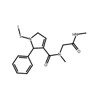 CNC(=O)CN(C)C(=O)C1=CCN(SI)C1c1ccccc1